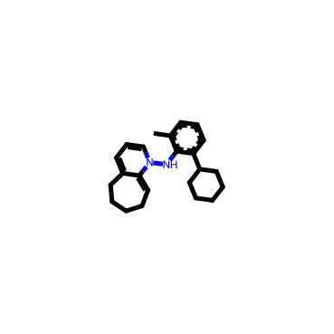 Cc1cccc(C2CCCCC2)c1NN1C=CC=C2CCCCC=C21